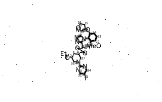 CCO[C@@H]1C[C@@H](S(=O)(=O)Nc2nnc([C@H]3CCCO3)n2-c2c(OC)cccc2OC)CN(c2ncc(F)cn2)C1